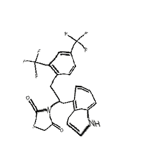 O=C1CSC(=O)N1C(Cc1ccc(C(F)(F)F)cc1C(F)(F)F)c1cccc2[nH]ccc12